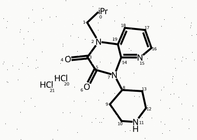 CC(C)Cn1c(=O)c(=O)n(C2CCNCC2)c2ncccc21.Cl.Cl